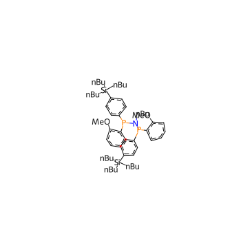 CCCCN(P(c1ccc([Si](CCCC)(CCCC)CCCC)cc1)c1ccccc1OC)P(c1ccc([Si](CCCC)(CCCC)CCCC)cc1)c1ccccc1OC